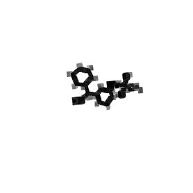 CS(=O)(=O)Nc1cccc(C(O)c2ccccc2)c1